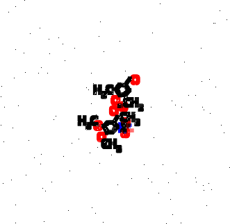 COc1cc(C(C)OC(=O)Oc2c(C)cc(C=O)cc2C)c([N+](=O)[O-])cc1OC